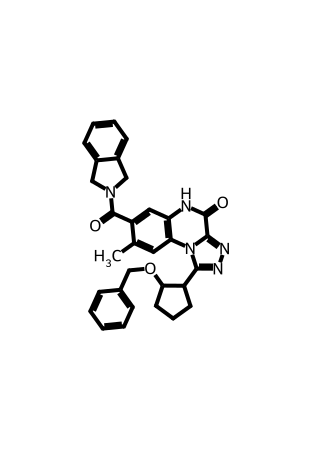 Cc1cc2c(cc1C(=O)N1Cc3ccccc3C1)[nH]c(=O)c1nnc(C3CCCC3OCc3ccccc3)n12